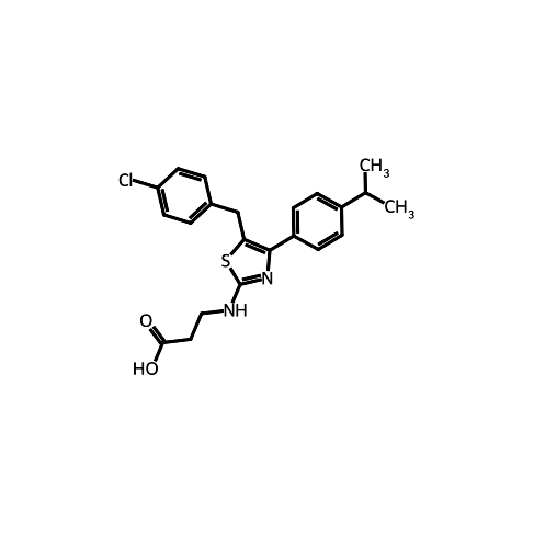 CC(C)c1ccc(-c2nc(NCCC(=O)O)sc2Cc2ccc(Cl)cc2)cc1